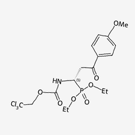 CCOP(=O)(OCC)[C@@H](CC(=O)c1ccc(OC)cc1)NC(=O)OCC(Cl)(Cl)Cl